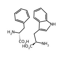 N[C@H](Cc1c[nH]c2ccccc12)C(=O)O.N[C@H](Cc1ccccc1)C(=O)O